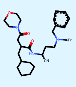 CC(C)N(CCC(C#N)NC(=O)C(CC(=O)N1CCOCC1)CC1CCCCC1)Cc1ccccc1